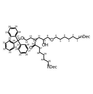 CCCCCCCCCCCCCCCCOCC(O)CN(CCOC(c1ccccc1)(c1ccccc1)c1ccccc1)C(=O)CCCCCCCCCCCCCCC